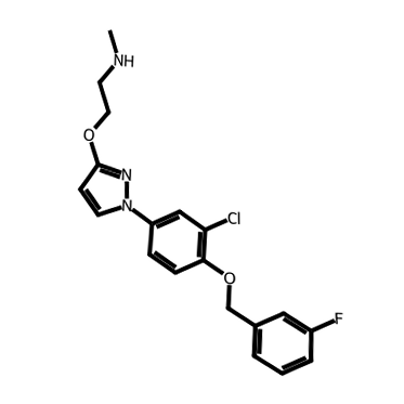 CNCCOc1ccn(-c2ccc(OCc3cccc(F)c3)c(Cl)c2)n1